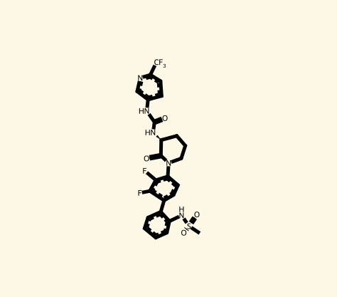 CS(=O)(=O)Nc1ccccc1-c1ccc(N2CCC[C@@H](NC(=O)Nc3ccc(C(F)(F)F)nc3)C2=O)c(F)c1F